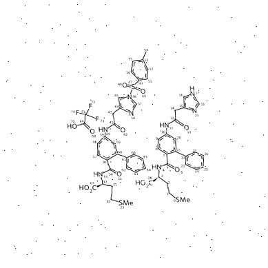 CSCC[C@H](NC(=O)c1ccc(NC(=O)Cc2c[nH]cn2)cc1-c1ccccc1)C(=O)O.CSCC[C@H](NC(=O)c1ccc(NC(=O)Cc2cn(S(=O)(=O)c3ccc(C)cc3)cn2)cc1-c1ccccc1)C(=O)O.O=C(O)C(F)(F)F